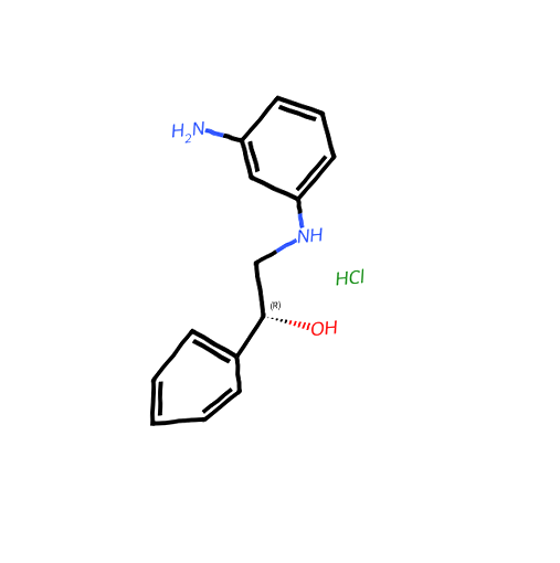 Cl.Nc1cccc(NC[C@H](O)c2ccccc2)c1